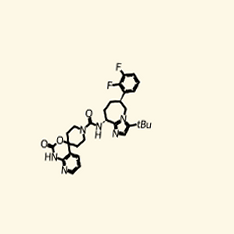 CC(C)(C)c1cnc2n1C[C@H](c1cccc(F)c1F)CC[C@H]2NC(=O)N1CCC2(CC1)OC(=O)Nc1ncccc12